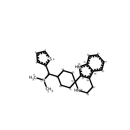 CN(C)C(c1cccs1)C1CCC2(CC1)NCCc1c2[nH]c2ccccc12